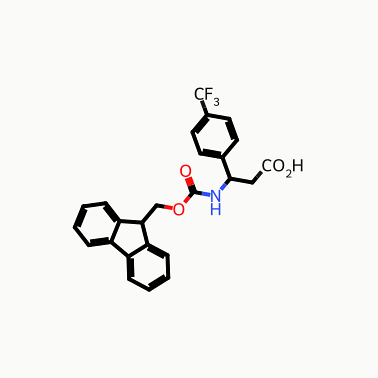 O=C(O)CC(NC(=O)OCC1c2ccccc2-c2ccccc21)c1ccc(C(F)(F)F)cc1